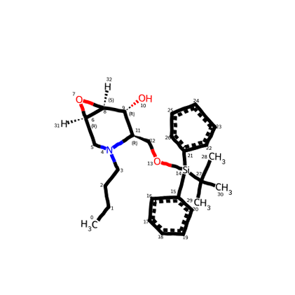 CCCCN1C[C@H]2O[C@H]2[C@H](O)[C@H]1CO[Si](c1ccccc1)(c1ccccc1)C(C)(C)C